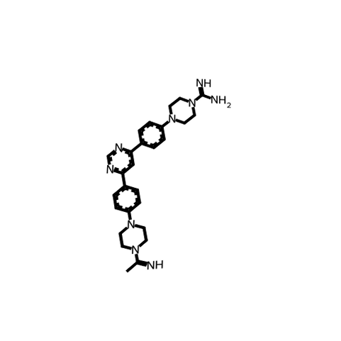 CC(=N)N1CCN(c2ccc(-c3cc(-c4ccc(N5CCN(C(=N)N)CC5)cc4)ncn3)cc2)CC1